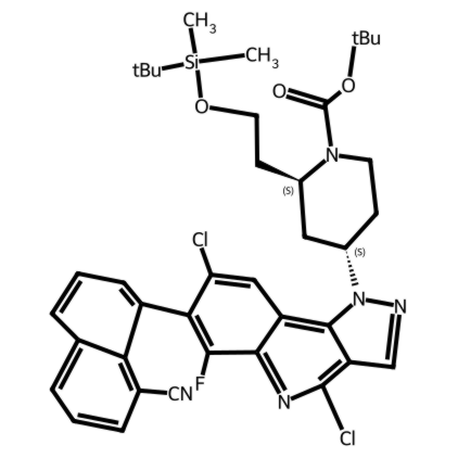 CC(C)(C)OC(=O)N1CC[C@H](n2ncc3c(Cl)nc4c(F)c(-c5cccc6cccc(C#N)c56)c(Cl)cc4c32)C[C@H]1CCO[Si](C)(C)C(C)(C)C